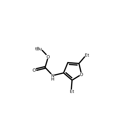 CCc1cc(NC(=O)OC(C)(C)C)c(CC)o1